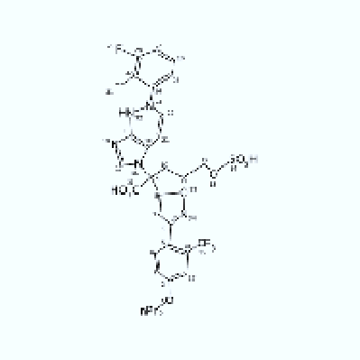 CCCOc1ccc(-c2cc(C(CCCOS(=O)(=O)O)(C(=O)O)n3cnc4c3C=CN(c3cccc(F)c3F)N4)on2)c(C(F)(F)F)c1